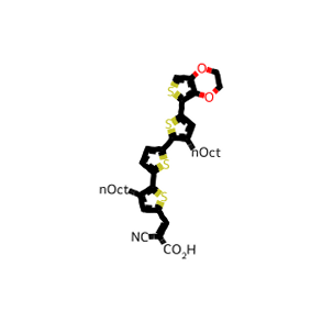 CCCCCCCCc1cc(/C=C(\C#N)C(=O)O)sc1-c1ccc(-c2sc(-c3scc4c3OCCO4)cc2CCCCCCCC)s1